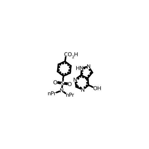 CCCN(CCC)S(=O)(=O)c1ccc(C(=O)O)cc1.Oc1ncnc2[nH]ncc12